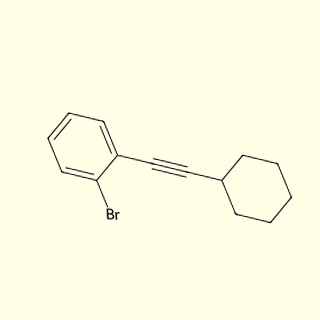 Brc1ccccc1C#CC1CCCCC1